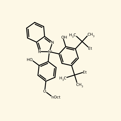 CCCCCCCCOc1ccc([N+]2(c3cc(C(C)(C)CC)cc(C(C)(C)CC)c3O)N=c3ccccc3=N2)c(O)c1